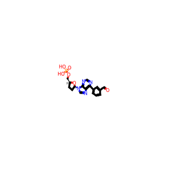 O=Cc1cccc(-c2ncnc3c2ncn3[C@H]2CC[C@@H](COP(=O)(O)O)O2)c1